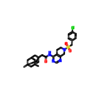 CC12CC3CC(C)(C1)CC(CC(=O)Nc1ncnc4c1CCN(S(=O)(=O)Cc1ccc(Cl)cc1)C4)(C3)C2